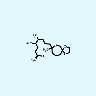 C=C(C)CCC(OC(C)=O)C(C)CCCC1(C)CCCC2(CO1)OCCO2